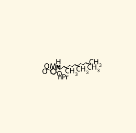 CCCOc1ccc(C(=O)OC)cc1NC/C=C(\C)CC/C=C(\C)CCC=C(C)C